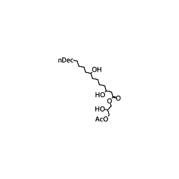 CCCCCCCCCCCCCCC(O)CCCCC(O)CC(=O)OCC(O)COC(C)=O